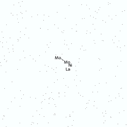 [La].[Mo][Mo].[Ni]